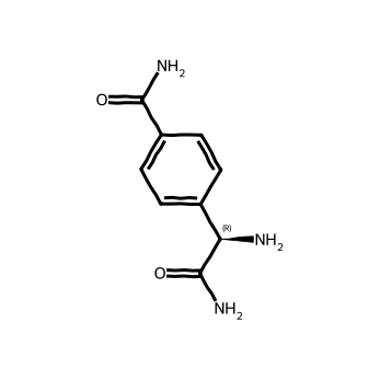 NC(=O)c1ccc([C@@H](N)C(N)=O)cc1